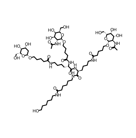 CC(=O)N[C@H]1[C@H](OCCCCC(=O)NCCCC[C@H](NC(=O)[C@H](CCCCNC(=O)CCCCO[C@H]2C[C@@H](O)[C@@H](O)[C@@H](CO)O2)NC(=O)CCCCO[C@@H]2O[C@H](CO)[C@H](O)[C@H](O)[C@H]2NC(C)=O)C(=O)NCCCCCC(=O)NCCCCCCO)O[C@H](CO)[C@H](O)[C@@H]1O